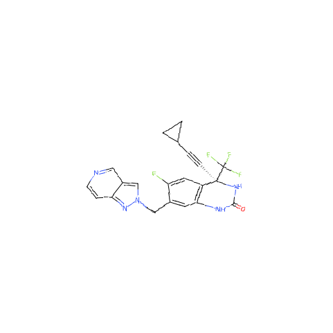 O=C1Nc2cc(Cn3cc4cnccc4n3)c(F)cc2[C@@](C#CC2CC2)(C(F)(F)F)N1